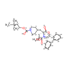 C=CC[C@]1(CC2CCN(C(=O)OCC[Si](C)(C)C)CC2)C(=O)O[C@H](c2ccccc2)[C@H](c2ccccc2)N1C(=O)O